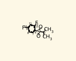 CC(C)S(=O)(=O)c1ccc(F)cc1F